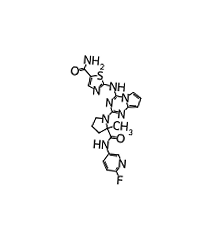 CC1(C(=O)Nc2ccc(F)nc2)CCCN1c1nc(Nc2ncc(C(N)=O)s2)n2cccc2n1